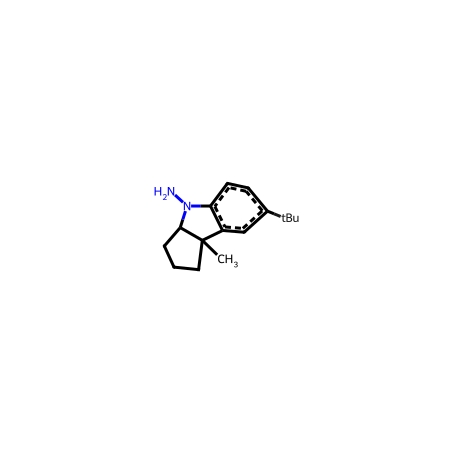 CC(C)(C)c1ccc2c(c1)C1(C)CCCC1N2N